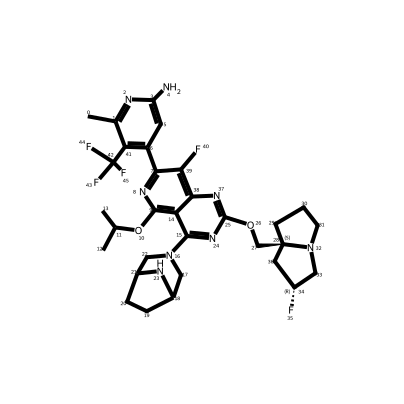 Cc1nc(N)cc(-c2nc(OC(C)C)c3c(N4CC5CCC(C4)N5)nc(OC[C@@]45CCCN4C[C@H](F)C5)nc3c2F)c1C(F)(F)F